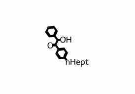 CCCCCCCc1ccc(C(=O)C(O)c2ccccc2)cc1